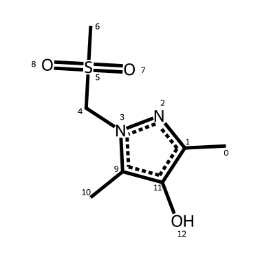 Cc1nn(CS(C)(=O)=O)c(C)c1O